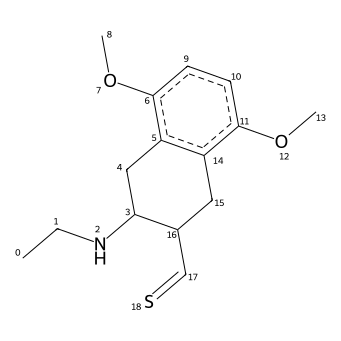 CCNC1Cc2c(OC)ccc(OC)c2CC1C=S